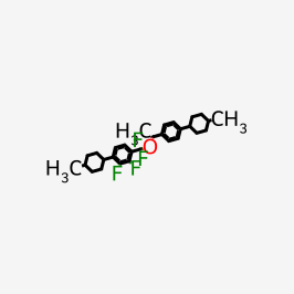 CC1CCC(c2ccc(C(C)OC(F)(F)c3ccc(C4CCC(C)CC4)c(F)c3F)cc2)CC1